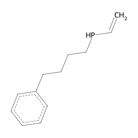 C=CPCCCCc1ccccc1